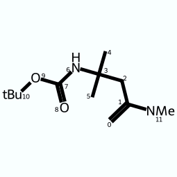 C=C(CC(C)(C)NC(=O)OC(C)(C)C)NC